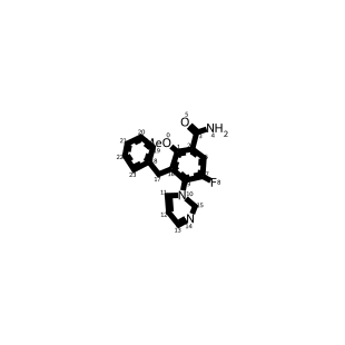 COc1c(C(N)=O)cc(F)c(N2C=CC=NC2)c1Cc1ccccc1